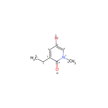 CCc1cc(Br)cn(C)c1=O